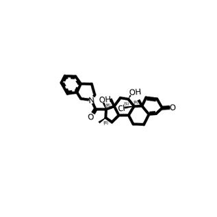 C[C@@H]1CC2C3CCC4=CC(=O)C=CC4(C)[C@@]3(Cl)[C@@H](O)CC2(C)[C@@]1(O)C(=O)N1CCc2ccccc2C1